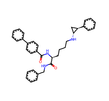 O=C(N[C@@H](CCCCN[C@@H]1C[C@H]1c1ccccc1)C(=O)NCc1ccccc1)c1ccc(-c2ccccc2)cc1